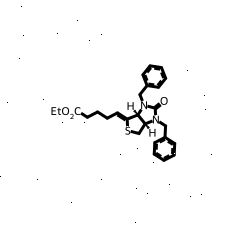 CCOC(=O)CCCC=C1SC[C@@H]2[C@H]1N(Cc1ccccc1)C(=O)N2Cc1ccccc1